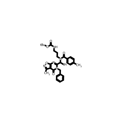 Cc1ccc(C(=O)N(CCCNC(=O)OC(C)(C)C)C(c2nc3onc(C)c3c(=O)n2Cc2ccccc2)C(C)C)cc1